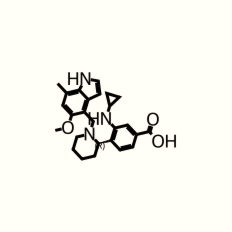 COc1cc(C)c2[nH]ccc2c1CN1CCCC[C@@H]1c1ccc(C(=O)O)cc1NC1CC1